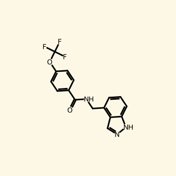 O=C(NCc1cccc2[nH]ncc12)c1ccc(OC(F)(F)F)cc1